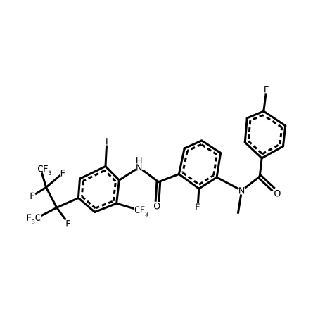 CN(C(=O)c1ccc(F)cc1)c1cccc(C(=O)Nc2c(I)cc(C(F)(C(F)(F)F)C(F)(F)C(F)(F)F)cc2C(F)(F)F)c1F